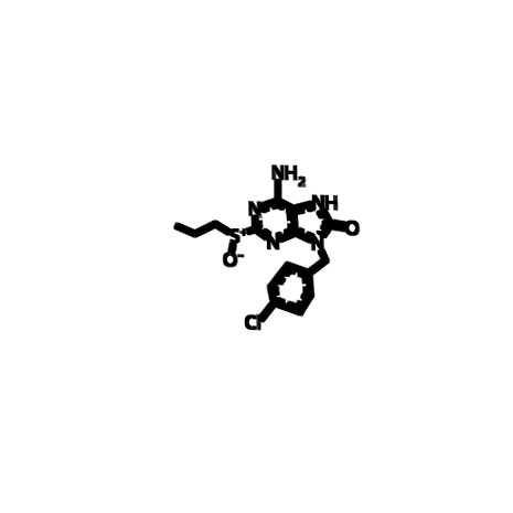 CCC[S+]([O-])c1nc(N)c2[nH]c(=O)n(Cc3ccc(Cl)cc3)c2n1